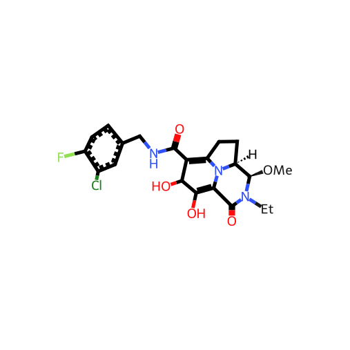 CCN1C(=O)C2=C(O)C(O)C(C(=O)NCc3ccc(F)c(Cl)c3)=C3CC[C@@H]([C@H]1OC)N32